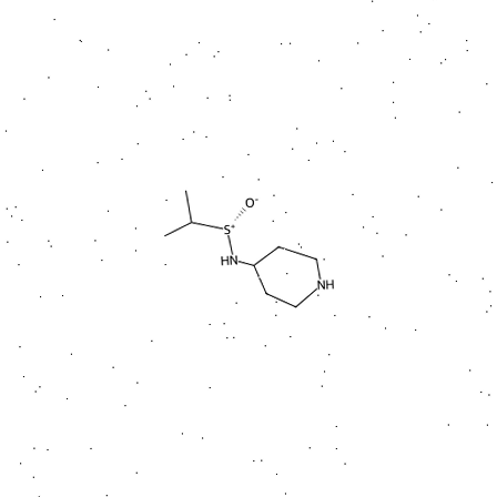 CC(C)[S@+]([O-])NC1CCNCC1